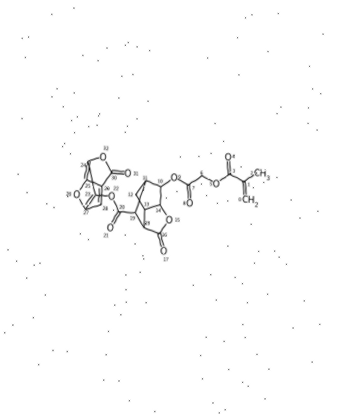 C=C(C)C(=O)OCC(=O)OC1C2CC3C1OC(=O)C3C2C(=O)Oc1c2c3oc1cc3C(=O)O2